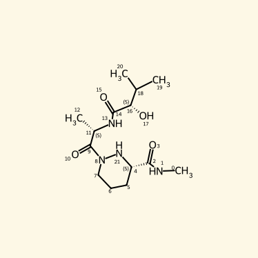 CNC(=O)[C@@H]1CCCN(C(=O)[C@H](C)NC(=O)[C@@H](O)C(C)C)N1